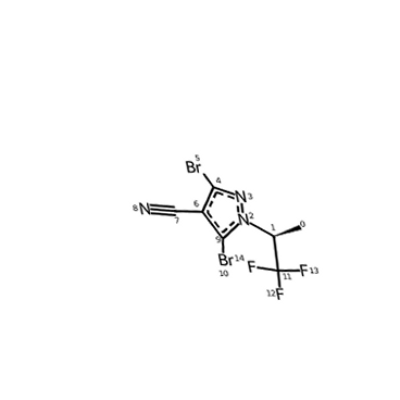 C[C@H](n1nc(Br)c(C#N)c1Br)C(F)(F)F